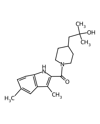 Cc1ccc2[nH]c(C(=O)N3CCC(CC(C)(C)O)CC3)c(C)c2c1